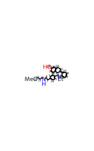 CCN(Cc1ccc(CCNCCCOC)cc1)c1ccccc1C1CCc2cc(O)ccc2C1